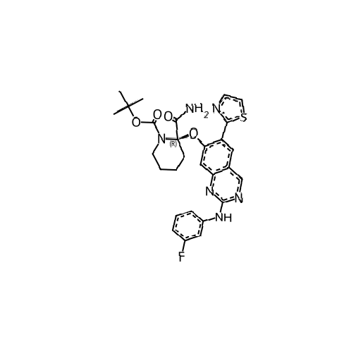 CC(C)(C)OC(=O)N1CCCC[C@@]1(Oc1cc2nc(Nc3cccc(F)c3)ncc2cc1-c1nccs1)C(N)=O